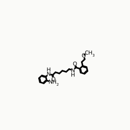 COCCc1ccccc1C(=O)NCCCCCC(=O)Nc1ccccc1N